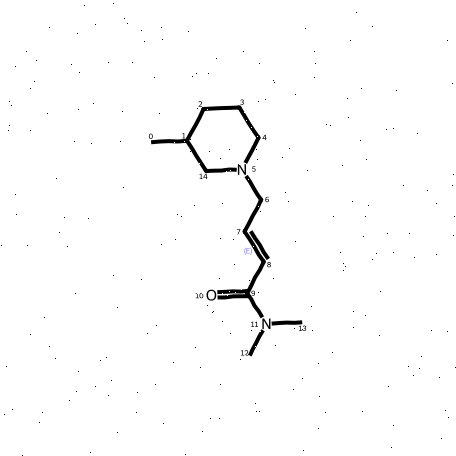 CC1CCCN(C/C=C/C(=O)N(C)C)C1